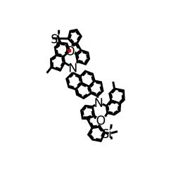 Cc1ccc2c(N(c3ccc4ccc5c(N(c6c(C)ccc7ccc(C)cc67)c6cccc7c6oc6c([Si](C)(C)C)cccc67)ccc6ccc3c4c65)c3cccc4c3oc3c([Si](C)(C)C)cccc34)cc(C)cc2c1